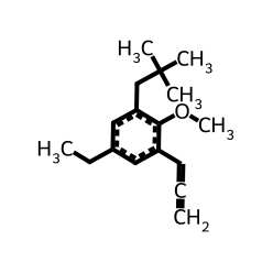 C=C=Cc1cc(CC)cc(CC(C)(C)C)c1OC